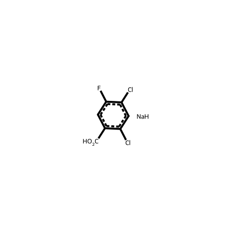 O=C(O)c1cc(F)c(Cl)cc1Cl.[NaH]